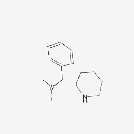 C1CCNCC1.CN(C)Cc1ccccc1